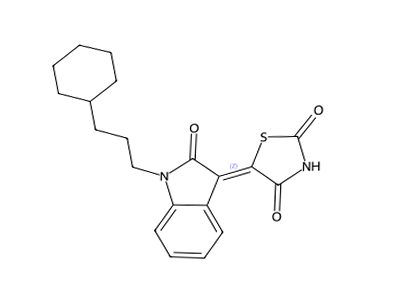 O=C1NC(=O)/C(=C2/C(=O)N(CCCC3CCCCC3)c3ccccc32)S1